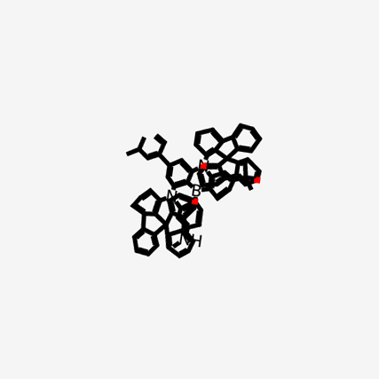 C=C/C(=C\C(C)C)c1cc2c3c(c1)N(c1cccc4c1C1(c5ccccc5-c5ccccc51)c1ccccc1-4)c1cc(C(C)(C)C)ccc1B3c1ccc(NC)cc1N2c1cccc2c1C1(c3ccccc3-c3ccccc31)c1ccccc1-2